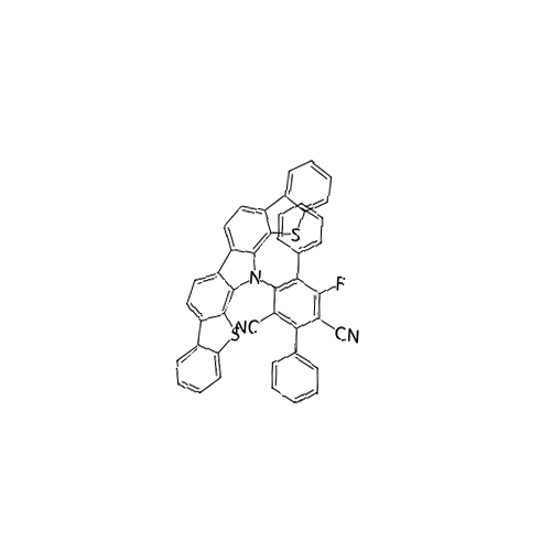 N#Cc1c(F)c(-c2ccccc2)c(-n2c3c(ccc4c5ccccc5sc43)c3ccc4c5ccccc5sc4c32)c(C#N)c1-c1ccccc1